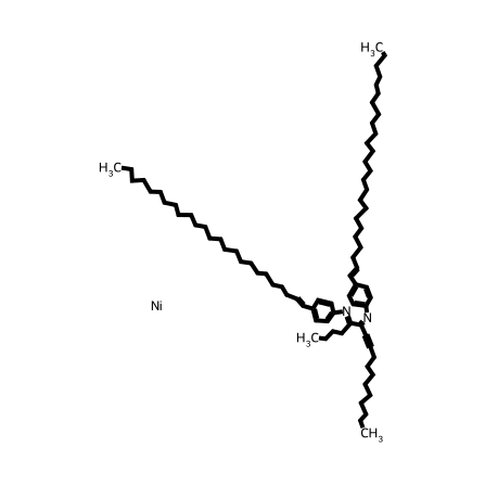 CCCCCCCCCC#CC(=Nc1ccc(C=CCCCCCCCCCCCCCCCCCCCCCCC)cc1)C(CCCC)=Nc1ccc(C=CCCCCCCCCCCCCCCCCCCCCCCC)cc1.[Ni]